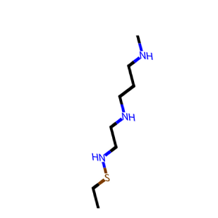 CCSNCCNCCCNC